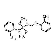 CO[Si](OC)(OCOc1ccccc1C)Oc1ccccc1C